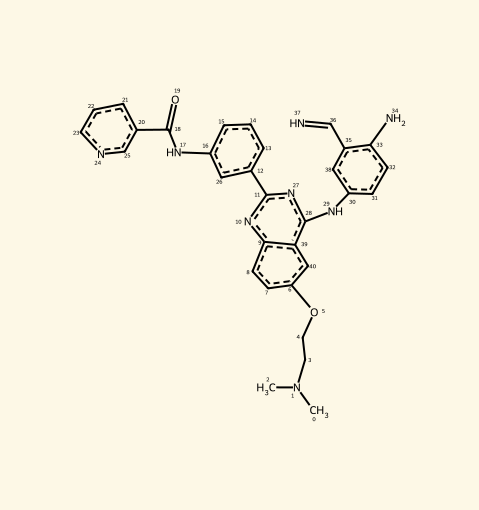 CN(C)CCOc1ccc2nc(-c3cccc(NC(=O)c4cccnc4)c3)nc(Nc3ccc(N)c(C=N)c3)c2c1